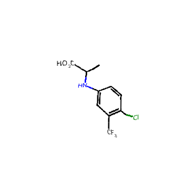 CC(Nc1ccc(Cl)c(C(F)(F)F)c1)C(=O)O